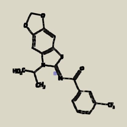 CC(C(=O)O)n1/c(=N/C(=O)c2cccc(C(F)(F)F)c2)sc2cc3c(cc21)OCO3